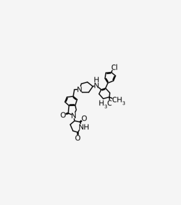 CC1(C)CCC(NC2CCN(Cc3ccc4c(c3)CN(C3CCC(=O)NC3=O)C4=O)CC2)=C(c2ccc(Cl)cc2)C1